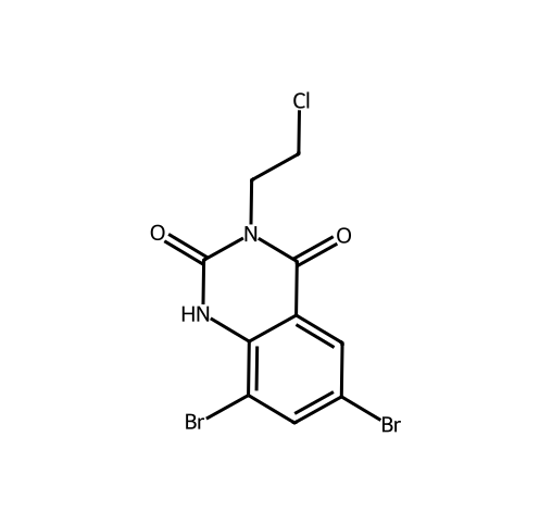 O=c1[nH]c2c(Br)cc(Br)cc2c(=O)n1CCCl